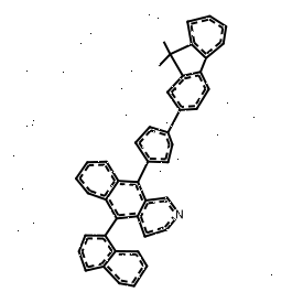 CC1(C)c2ccccc2-c2ccc(-c3ccc(-c4c5ccccc5c(-c5cccc6ccccc56)c5ccncc45)cc3)cc21